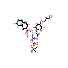 COC(OC1CN(OC(=O)OC(C)(C)C)CCC1c1ccc(OCCCO)cc1)c1ccc2ccccc2c1